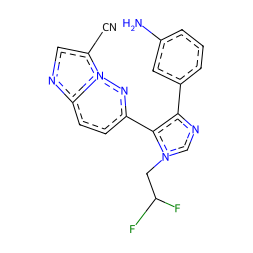 N#Cc1cnc2ccc(-c3c(-c4cccc(N)c4)ncn3CC(F)F)nn12